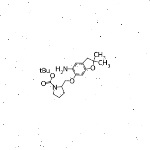 CC(C)(C)OC(=O)N1CCCC1COc1cc2c(cc1N)CC(C)(C)O2